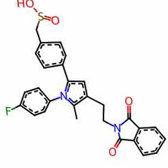 Cc1c(CCN2C(=O)c3ccccc3C2=O)cc(-c2ccc(CS(=O)O)cc2)n1-c1ccc(F)cc1